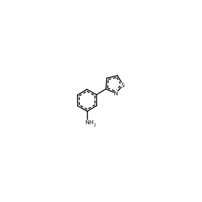 Nc1cccc(-c2ccsn2)c1